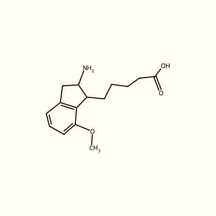 COc1cccc2c1C(CCCCC(=O)O)C(N)C2